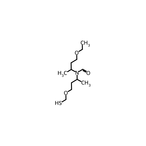 CCOCCC(C)N(C=O)C(C)CCOCS